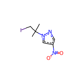 CC(C)(CI)n1cc([N+](=O)[O-])cn1